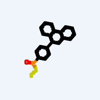 O=P(=S=S)c1ccc(-c2cc3ccccc3c3ccccc23)cc1